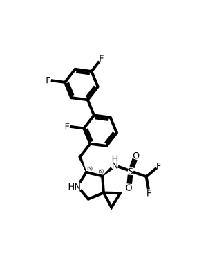 O=S(=O)(N[C@@H]1[C@H](Cc2cccc(-c3cc(F)cc(F)c3)c2F)NCC12CC2)C(F)F